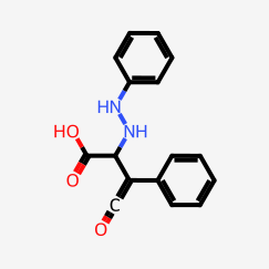 O=C=C(c1ccccc1)C(NNc1ccccc1)C(=O)O